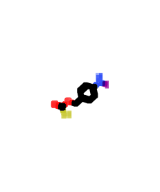 O=C(S)OCc1ccc(NI)cc1